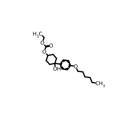 CCCCCCOc1ccc(C2(O)CCC(OC(=O)OCC)CC2)cc1